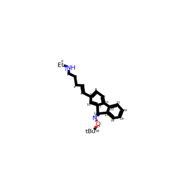 CCNCCC/C=C/c1ccc2c(c1)/C(=N/OC(C)(C)C)c1ccccc1-2